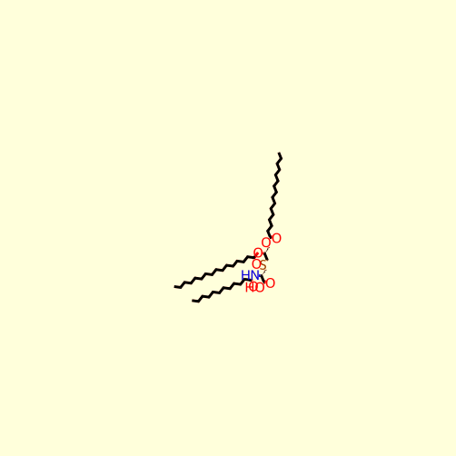 CCCCCCCCCCCCCCCC(=O)OC[C@H](CSC[C@@H](NC(=O)CCCCCCCCCCC)C(=O)O)OC(=O)CCCCCCCCCCCCCCC